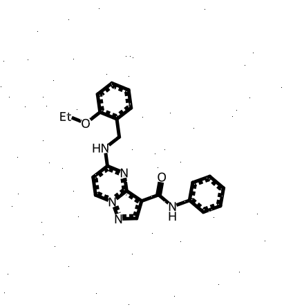 CCOc1ccccc1CNc1ccn2ncc(C(=O)Nc3ccccc3)c2n1